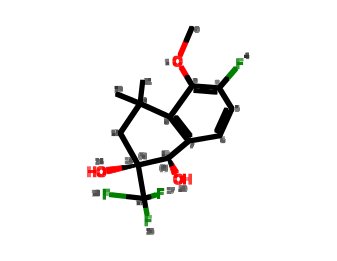 COc1c(F)ccc2c1C(C)(C)C[C@@](O)(C(F)(F)F)[C@@H]2O